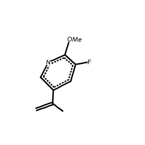 C=C(C)c1cnc(OC)c(F)c1